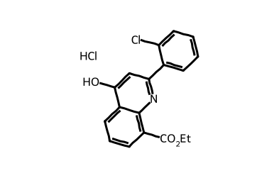 CCOC(=O)c1cccc2c(O)cc(-c3ccccc3Cl)nc12.Cl